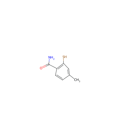 Cc1ccc(C(N)=O)c(S)c1